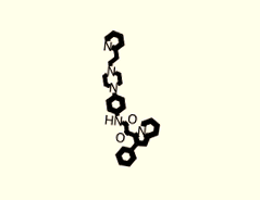 O=C(Nc1ccc(N2CCN(CCc3ccccn3)CC2)cc1)C(=O)c1c(-c2ccccc2)cc2ccccn12